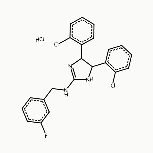 Cl.Fc1cccc(CNC2=NC(c3ccccc3Cl)C(c3ccccc3Cl)N2)c1